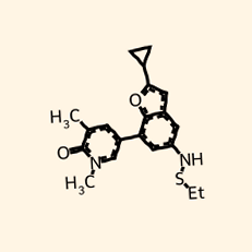 CCSNc1cc(-c2cc(C)c(=O)n(C)c2)c2oc(C3CC3)cc2c1